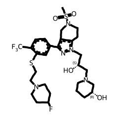 CS(=O)(=O)N1CCc2c(c(-c3ccc(C(F)(F)F)c(SCCN4CCC(F)CC4)c3)nn2C[C@@H](O)CN2CCC[C@@H](O)C2)C1